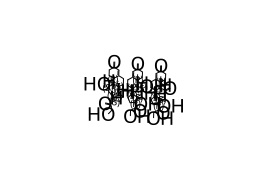 C[C@]12CCC(=O)C=C1CC[C@@H]1[C@@H]2C(=O)C[C@@]2(C)[C@H]1CC[C@]2(O)C(=O)CO.C[C@]12CCC(=O)C=C1CC[C@@H]1[C@@H]2[C@@H](O)C[C@@]2(C)[C@H]1CC[C@]2(O)C(=O)CO.C[C@]12C[C@H](O)[C@H]3[C@@H](CCC4=CC(=O)CC[C@@]43C)[C@@H]1CC[C@@H]2C(=O)CO